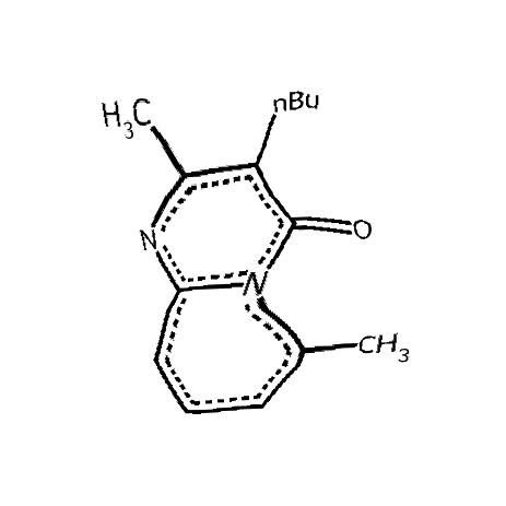 CCCCc1c(C)nc2cccc(C)n2c1=O